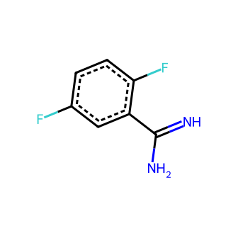 N=C(N)c1cc(F)ccc1F